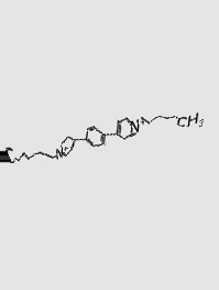 CCCCCC[n+]1ccc(-c2ccc(-c3cc[n+](CCCCCC)cc3)cc2)cc1